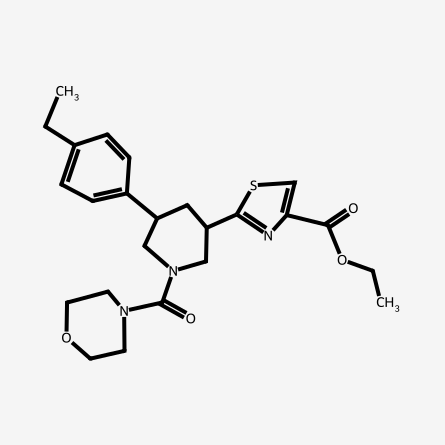 CCOC(=O)c1csc(C2CC(c3ccc(CC)cc3)CN(C(=O)N3CCOCC3)C2)n1